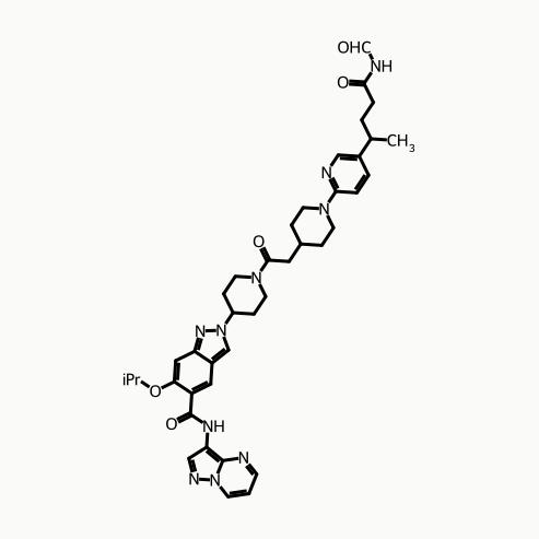 CC(C)Oc1cc2nn(C3CCN(C(=O)CC4CCN(c5ccc(C(C)CCC(=O)NC=O)cn5)CC4)CC3)cc2cc1C(=O)Nc1cnn2cccnc12